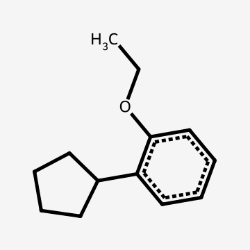 CCOc1ccccc1C1CCCC1